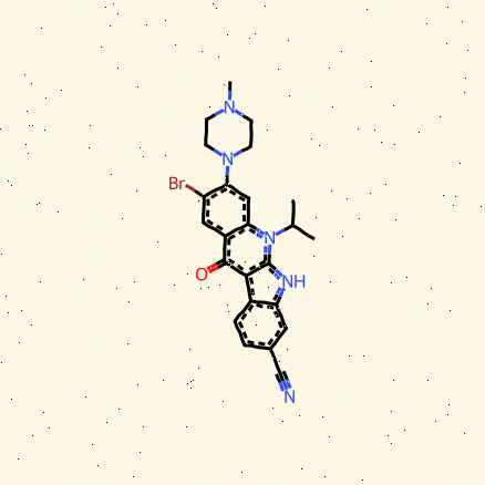 CC(C)n1c2cc(N3CCN(C)CC3)c(Br)cc2c(=O)c2c3ccc(C#N)cc3[nH]c21